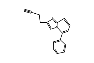 C#CCCc1cn2c(-c3ccccc3)cccc2n1